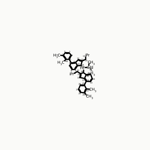 Cc1cccc(-c2cccc3c2C=C(CC(C)C)[CH]3[Hf]([CH]2C(CC(C)C)=Cc3c(-c4cccc(C)c4C)cccc32)[SiH](C)C)c1C